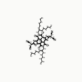 CCCCCCC(CCCCCC)Cn1c(=O)c2c3sc(=C(C#N)C#N)sc3c3c(=O)n(CC(CCCCCC)CCCCCC)c(=O)c4c5sc(=C(C#N)C#N)sc5c(c1=O)c2c34